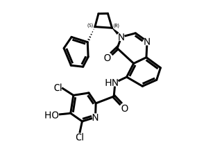 O=C(Nc1cccc2ncn([C@@H]3CC[C@H]3c3ccccc3)c(=O)c12)c1cc(Cl)c(O)c(Cl)n1